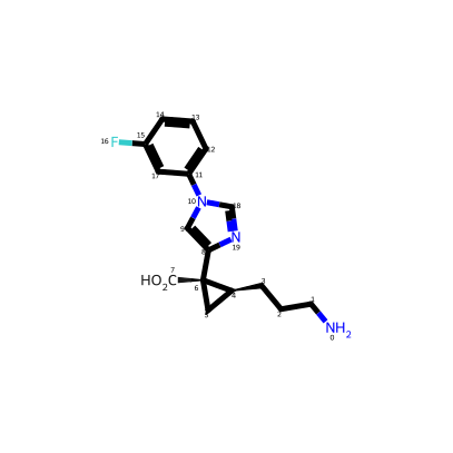 NCCC[C@H]1C[C@]1(C(=O)O)c1cn(-c2cccc(F)c2)cn1